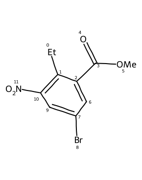 CCc1c(C(=O)OC)cc(Br)cc1[N+](=O)[O-]